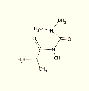 BN(C)C(=O)N(C)C(=O)N(B)C